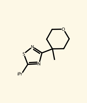 CC(C)c1nc(C2(C)CCOCC2)ns1